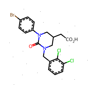 O=C(O)CC1CN(Cc2cccc(Cl)c2Cl)C(=O)N(c2ccc(Br)cc2)C1